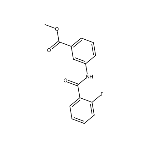 COC(=O)c1cccc(NC(=O)c2ccccc2F)c1